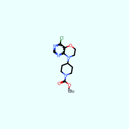 CC(C)(C)OC(=O)N1CCC(N2CCOc3c(Cl)ncnc32)CC1